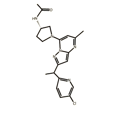 CC(=O)N[C@H]1CCN(c2cc(C)nc3cc(C(C)c4ccc(Cl)cn4)nn23)C1